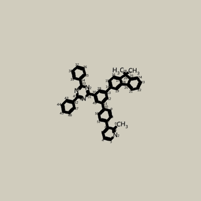 Cc1ncccc1-c1ccc(-c2cc(-c3ccc4c(c3)-c3ccccc3C4(C)C)cc(-c3nc(-c4ccccc4)nc(-c4ccccc4)n3)c2)cc1